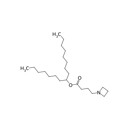 CCCCCCCCC(CCCCCCC)OC(=O)CCCN1CCC1